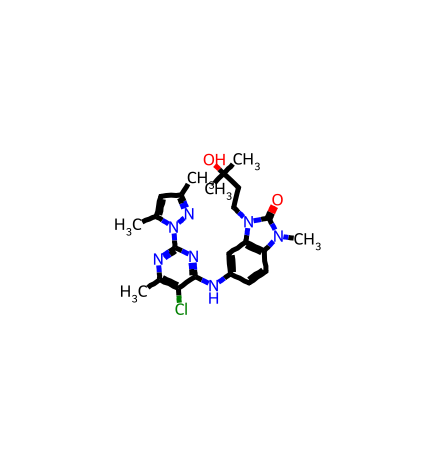 Cc1cc(C)n(-c2nc(C)c(Cl)c(Nc3ccc4c(c3)n(CCC(C)(C)O)c(=O)n4C)n2)n1